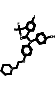 O=C(c1ccc(I)cc1C(F)(F)F)N(c1ccc(O)cc1)c1ccc(OCCN2CCCCC2)cc1